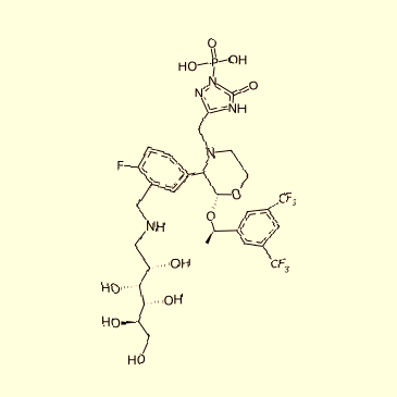 C[C@@H](O[C@H]1OCCN(Cc2nn(P(=O)(O)O)c(=O)[nH]2)C1c1ccc(F)c(CNC[C@H](O)[C@@H](O)[C@H](O)[C@H](O)CO)c1)c1cc(C(F)(F)F)cc(C(F)(F)F)c1